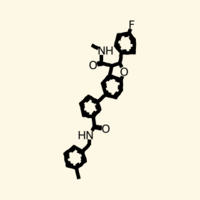 CNC(=O)C1c2cc(-c3cccc(C(=O)NCc4cccc(C)c4)c3)ccc2OC1c1ccc(F)cc1